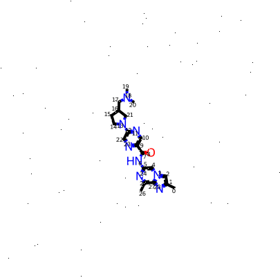 Cc1cn2cc(NC(=O)c3cnc(N4CCC(CN(C)C)C4)cn3)nc(C)c2n1